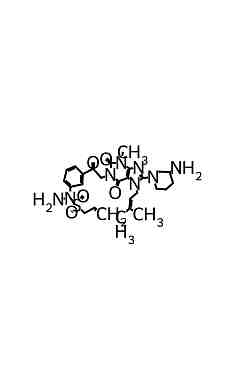 C=CCS(=O)(=O)N(N)c1cccc(C(=O)Cn2c(=O)c3c(nc(N4CCCC(N)C4)n3CC=C(C)C)n(C)c2=O)c1